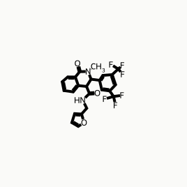 CN1C(=O)c2ccccc2C(C(=O)NCc2ccco2)C1c1cc(C(F)(F)F)cc(C(F)(F)F)c1